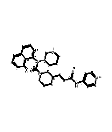 Cc1cccc2ccnc(N(C(=O)N3CCCC(CCC(=O)Nc4ccncc4)C3)[C@@H]3CCCNC3)c12